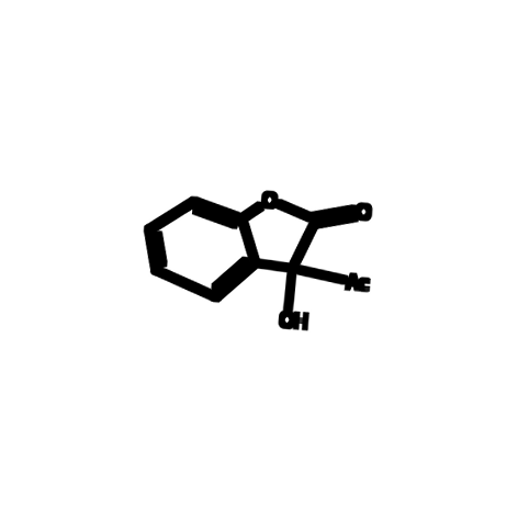 CC(=O)C1(O)C(=O)Oc2ccccc21